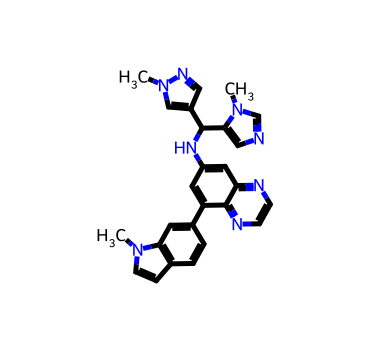 Cn1cc(C(Nc2cc(-c3ccc4ccn(C)c4c3)c3nccnc3c2)c2cncn2C)cn1